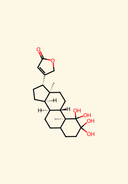 C[C@]12CC[C@H]3[C@@H](CCC4CCC(O)(O)C(O)(O)[C@@]43C)[C@H]1CC[C@@H]2C1=CC(=O)OC1